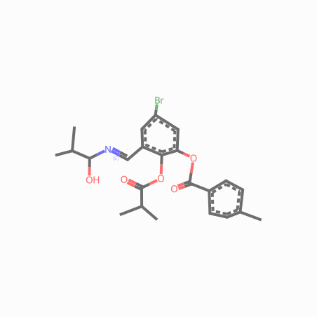 Cc1ccc(C(=O)Oc2cc(Br)cc(/C=N/C(O)C(C)C)c2OC(=O)C(C)C)cc1